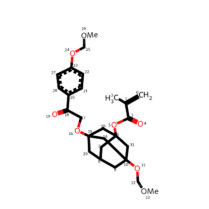 C=C(C)C(=O)OC12CC3CC(OCOC)(CC(OCC(=O)c4ccc(OCOC)cc4)(C3)C1)C2